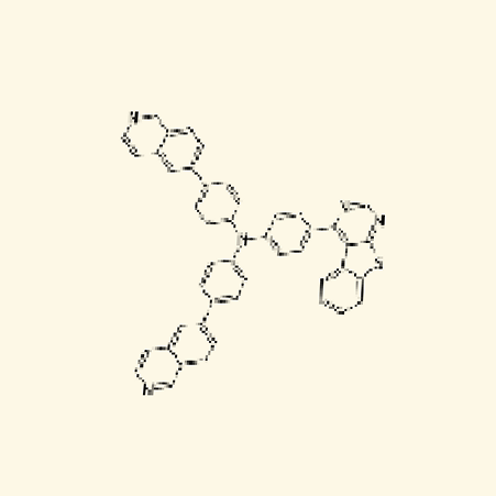 c1ccc2c(c1)sc1ncnc(-c3ccc(N(c4ccc(-c5ccc6cnccc6c5)cc4)c4ccc(-c5ccc6cnccc6c5)cc4)cc3)c12